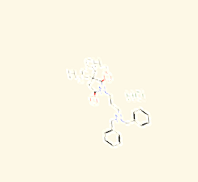 CCC1(C)CC(=O)N(CCCN(Cc2ccccc2)Cc2ccccc2)C1=O.Cl